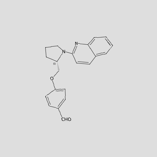 O=Cc1ccc(OC[C@@H]2CCCN2c2ccc3ccccc3n2)cc1